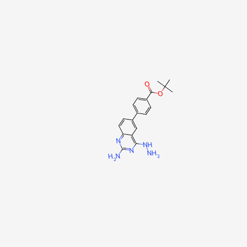 CC(C)(C)OC(=O)c1ccc(-c2ccc3nc(N)nc(NN)c3c2)cc1